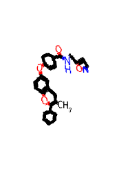 CC1Cc2cc(OC3CCC(C(=O)NCc4ccno4)CC3)ccc2OC1c1ccccc1